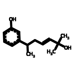 CC(C/C=C/C(C)(C)O)c1cccc(O)c1